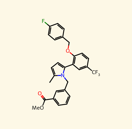 COC(=O)c1cccc(Cn2c(C)ccc2-c2cc(C(F)(F)F)ccc2OCc2ccc(F)cc2)c1